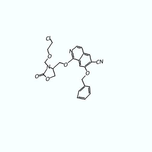 N#Cc1cc2ccnc(OCC3COC(=O)N3COCCCl)c2cc1OCc1ccccc1